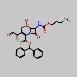 CCCCOC(=O)NC1C(=O)N2C(C(=O)OC(c3ccccc3)c3ccccc3)=C(C(Cl)C=O)C[S+]([O-])C12